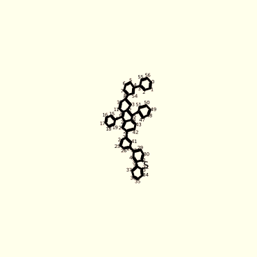 c1ccc(-c2cccc(-c3ccc4c(-c5ccccc5)c5cc(-c6cccc(-c7ccc8sc9ccccc9c8c7)c6)ccc5c(-c5ccccc5)c4c3)c2)cc1